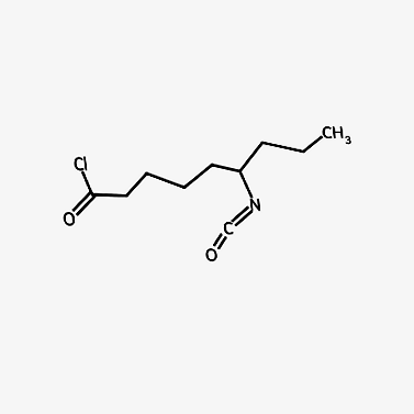 CCCC(CCCCC(=O)Cl)N=C=O